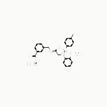 COc1ccccc1N(CC(=O)NCc1cccc(C(=O)ON)c1)S(=O)(=O)c1ccc(C)cc1